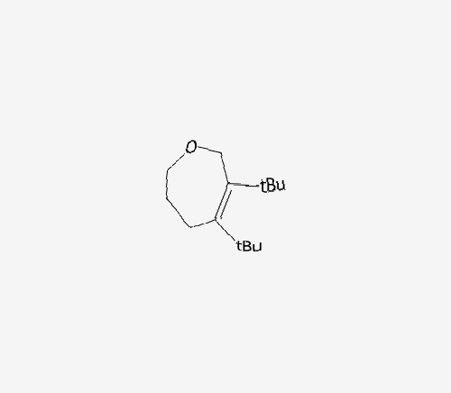 CC(C)(C)C1=C(C(C)(C)C)COCCC1